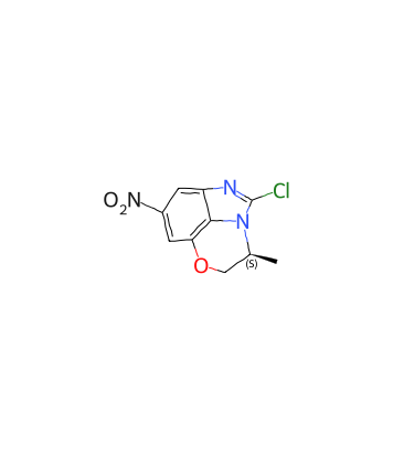 C[C@H]1COc2cc([N+](=O)[O-])cc3nc(Cl)n1c23